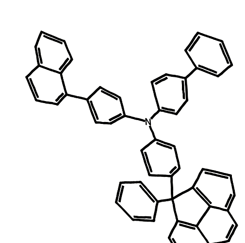 c1ccc(-c2ccc(N(c3ccc(-c4cccc5ccccc45)cc3)c3ccc(C4(c5ccccc5)c5cccc6ccc7cccc4c7c56)cc3)cc2)cc1